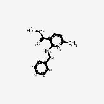 COC(=O)c1ccc(C)nc1NCc1ccccc1